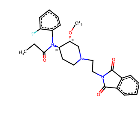 CCC(=O)N(c1ccccc1F)[C@@H]1CCN(CCN2C(=O)c3ccccc3C2=O)C[C@H]1OC